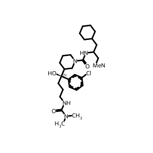 CNCC(CC1CCCCC1)NC(=O)N1CCCC([C@@](O)(CCCNC(=O)N(C)C)c2cccc(Cl)c2)C1